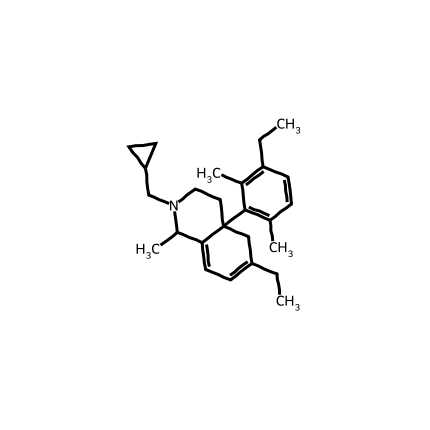 CCC1=CC=C2C(C)N(CC3CC3)CCC2(c2c(C)ccc(CC)c2C)C1